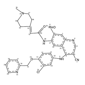 COc1cc2ncc(C#N)c(Nc3ccc(OCc4ccccn4)c(Cl)c3)c2cc1NC(=O)C=C1CCN(C)CC1